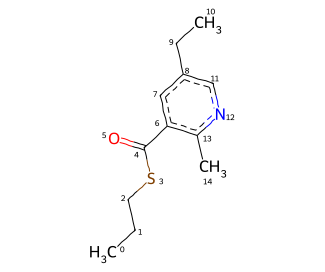 CCCSC(=O)c1cc(CC)cnc1C